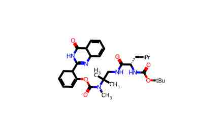 CC(C)C[C@H](NC(=O)OC(C)(C)C)C(=O)NCC(C)(C)N(C)C(=O)OC1=CC=CCC1C1=NC2C=CC=CC2C(=O)N1